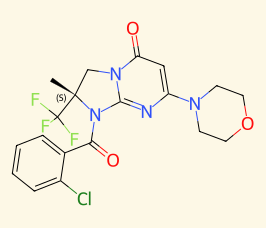 C[C@@]1(C(F)(F)F)Cn2c(nc(N3CCOCC3)cc2=O)N1C(=O)c1ccccc1Cl